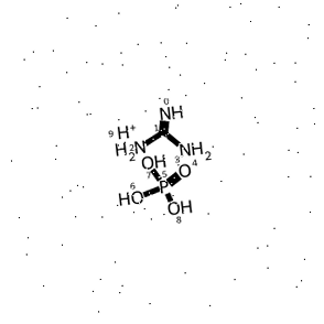 N=C(N)N.O=P(O)(O)O.[H+]